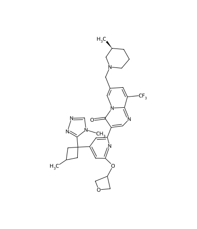 CC1CC(c2cc(OC3COC3)nc(-c3cnc4c(C(F)(F)F)cc(CN5CCC[C@H](C)C5)cn4c3=O)c2)(c2nncn2C)C1